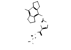 CN(C)S(=O)(=O)NC(=O)c1coc(Nc2c3c(c(Cl)c4c2CCC4)CCC3)n1